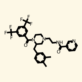 Cc1ccc(CC2CN(CCNC(=O)c3cccnc3)CCN2C(=O)c2cc(C(F)(F)F)cc(C(F)(F)F)c2)cc1C